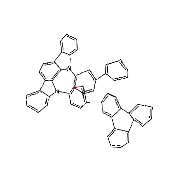 c1ccc(-c2cccc(-n3c4ccccc4c4ccc5c6ccccc6n(-c6ccc(-c7ccc8c9ccccc9c9ccccc9c8c7)cc6)c5c43)c2)cc1